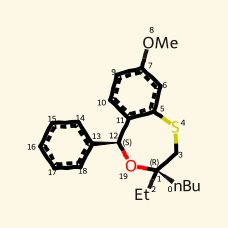 CCCC[C@]1(CC)CSc2cc(OC)ccc2[C@H](c2ccccc2)O1